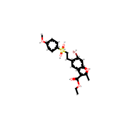 CCOC(=O)c1c(C)oc2cc(Br)c(CCS(=O)(=O)c3ccc(OC)cc3)cc12